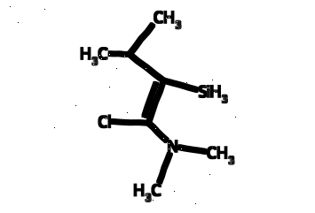 CC(C)C([SiH3])=C(Cl)N(C)C